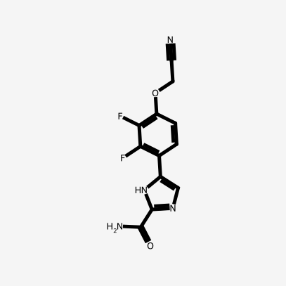 N#CCOc1ccc(-c2cnc(C(N)=O)[nH]2)c(F)c1F